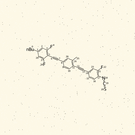 CCCCc1cc(F)c(C#Cc2ccc(C#Cc3ccc(N=C=S)c(F)c3)c(C)c2)c(F)c1